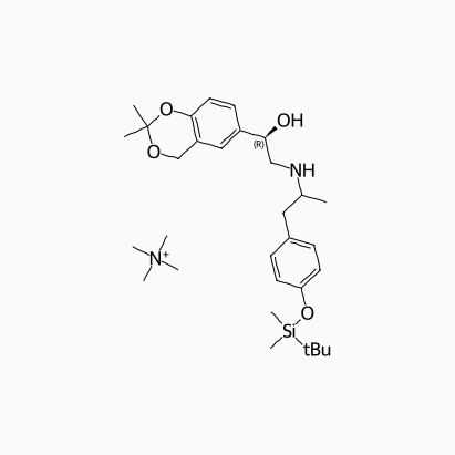 CC(Cc1ccc(O[Si](C)(C)C(C)(C)C)cc1)NC[C@H](O)c1ccc2c(c1)COC(C)(C)O2.C[N+](C)(C)C